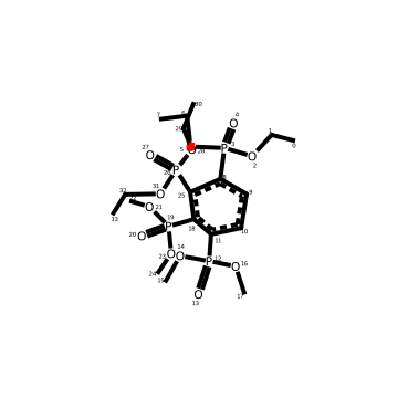 CCOP(=O)(OCC)c1ccc(P(=O)(OC)OC)c(P(=O)(OC)OC)c1P(=O)(OCC)OCC